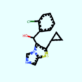 OC(c1ccccc1Cl)c1c(C2CC2)sc2cncn12